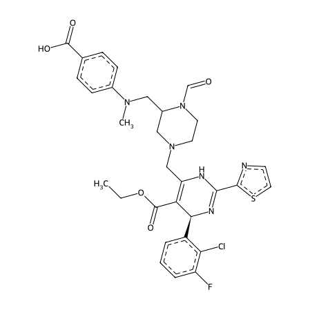 CCOC(=O)C1=C(CN2CCN(C=O)C(CN(C)c3ccc(C(=O)O)cc3)C2)NC(c2nccs2)=N[C@H]1c1cccc(F)c1Cl